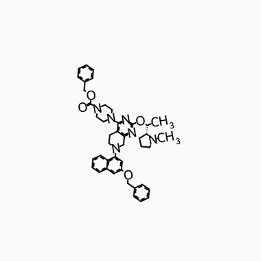 CC(Oc1nc2c(c(N3CCN(C(=O)OCc4ccccc4)CC3)n1)CCN(c1cc(OCc3ccccc3)cc3ccccc13)C2)[C@H]1CCCN1C